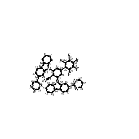 N#Cc1c(-n2c3ccccc3c3ccc(-c4cnccn4)cc32)cc(-c2c(F)c(F)c(F)c(F)c2F)cc1-n1c2ccccc2c2ccc(-c3ncccn3)cc21